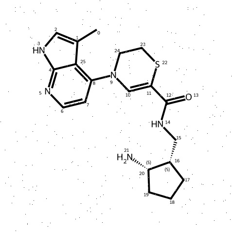 Cc1c[nH]c2nccc(N3C=C(C(=O)NC[C@@H]4CCC[C@@H]4N)SCC3)c12